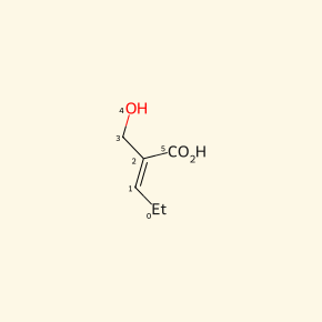 CC/C=C(/CO)C(=O)O